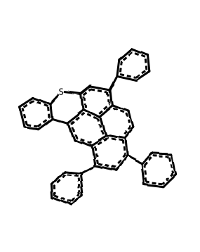 c1ccc(-c2cc(-c3ccccc3)c3cc4c5c(cc(-c6ccccc6)c6ccc2c3c65)Sc2ccccc2-4)cc1